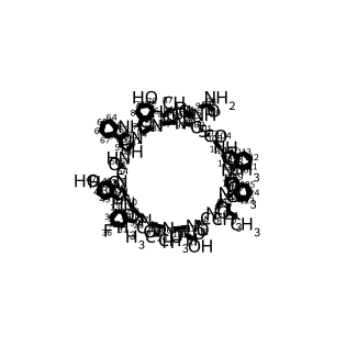 CCCC[C@H]1C(=O)N(C)CC(=O)N[C@@H](CC(=O)O)C(=O)N[C@@H](C(C)C)C(=O)N(C)[C@@H](Cc2cccc(F)c2)C(=O)N[C@@H](Cc2ccc(O)cc2)C(=O)N(C)CC(=O)N[C@@H](Cc2c[nH]c3ccccc23)C(=O)N[C@@H](Cc2ccc(O)cc2)C(=O)N[C@@H](CC(C)C)C(=O)N[C@H](C(=O)NCC(N)=O)CSCC(=O)N[C@@H](Cc2ccccc2)C(=O)N(C)[C@@H](Cc2ccccc2)C(=O)N1C